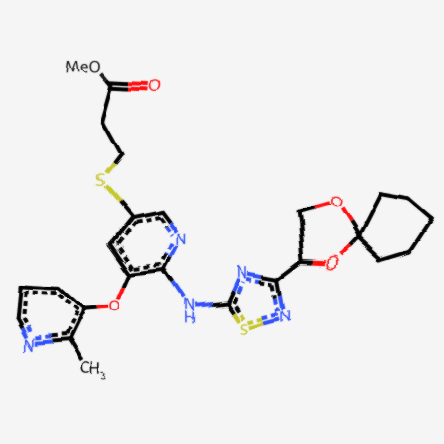 COC(=O)CCSc1cnc(Nc2nc(C3COC4(CCCCC4)O3)ns2)c(Oc2cccnc2C)c1